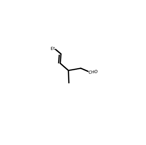 CCC=CC(C)CC=O